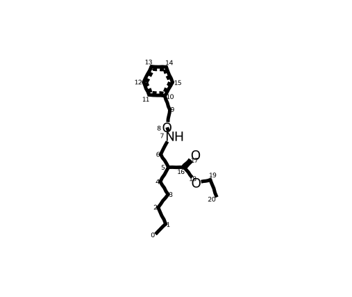 CCCCCC(CNOCc1ccccc1)C(=O)OCC